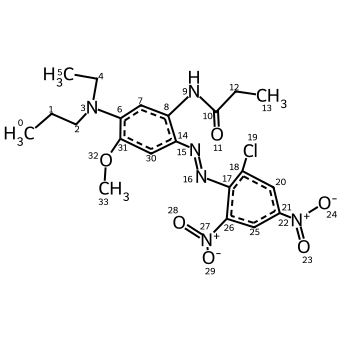 CCCN(CC)c1cc(NC(=O)CC)c(/N=N/c2c(Cl)cc([N+](=O)[O-])cc2[N+](=O)[O-])cc1OC